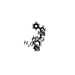 CN1C(=O)C(NC(=O)c2nc3n(n2)CCC3c2ccccc2)CCn2nccc21